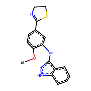 CCOc1ccc(C2=NCCS2)cc1Nc1n[nH]c2ccccc12